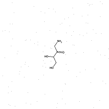 NCC(=O)C(O)CO